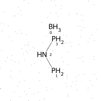 B.PNP